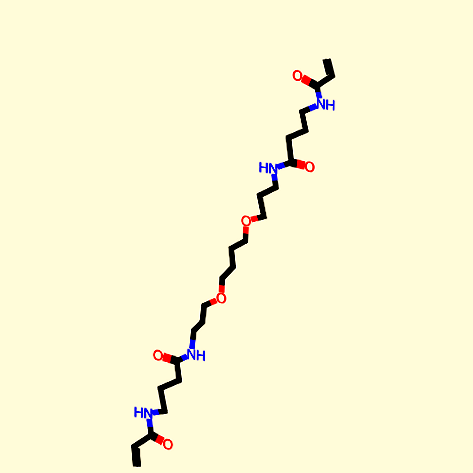 C=CC(=O)NCCCC(=O)NCCCOCCCCOCCCNC(=O)CCCNC(=O)C=C